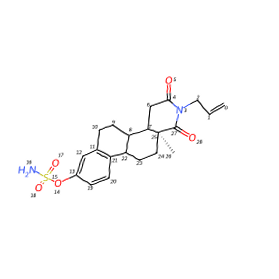 C=CCN1C(=O)CC2C3CCc4cc(OS(N)(=O)=O)ccc4C3CC[C@]2(C)C1=O